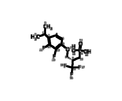 CC(C)c1ccc(OC[C@H](CP(=O)(O)O)C(F)(F)F)c(F)c1F